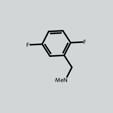 C[N]Cc1cc(F)ccc1F